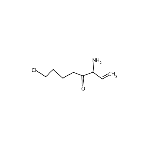 C=CC(N)C(=O)CCCCCl